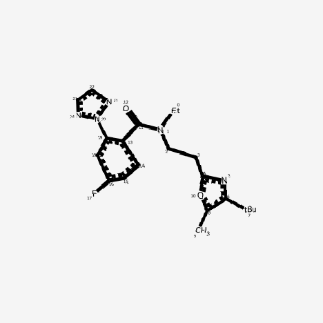 CCN(CCc1nc(C(C)(C)C)c(C)o1)C(=O)c1ccc(F)cc1-n1nccn1